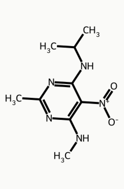 CNc1nc(C)nc(NC(C)C)c1[N+](=O)[O-]